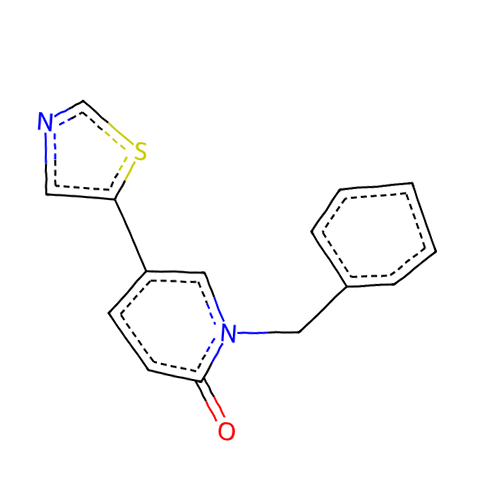 O=c1ccc(-c2cncs2)cn1Cc1ccccc1